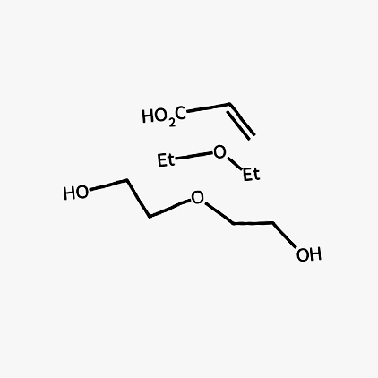 C=CC(=O)O.CCOCC.OCCOCCO